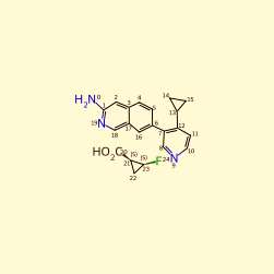 Nc1cc2ccc(-c3cnccc3C3CC3)cc2cn1.O=C(O)[C@@H]1C[C@@H]1F